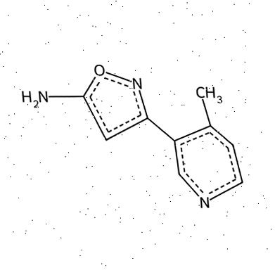 Cc1ccncc1-c1cc(N)on1